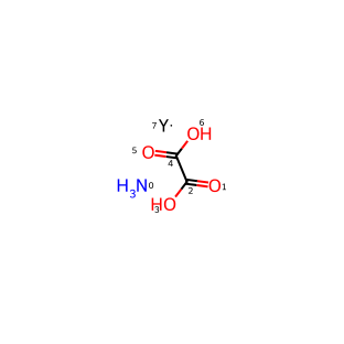 N.O=C(O)C(=O)O.[Y]